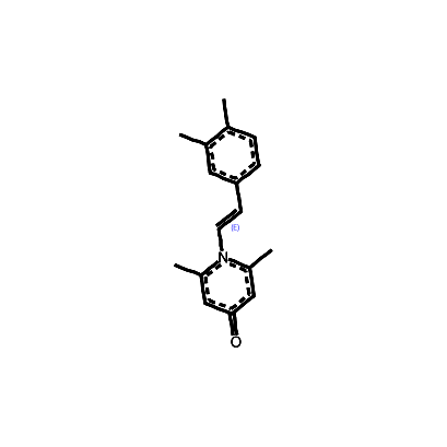 Cc1ccc(/C=C/n2c(C)cc(=O)cc2C)cc1C